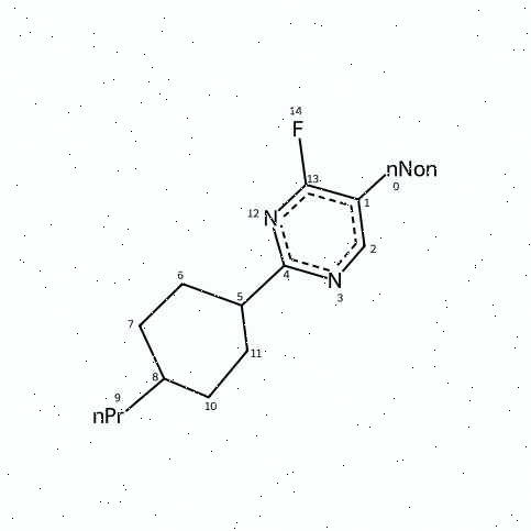 CCCCCCCCCc1cnc(C2CCC(CCC)CC2)nc1F